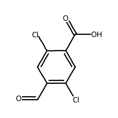 O=Cc1cc(Cl)c(C(=O)O)cc1Cl